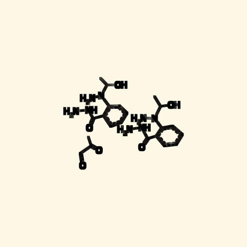 CC(=O)C=O.CC(O)N(N)c1ccccc1C(=O)NN.CC(O)N(N)c1ccccc1C(=O)NN